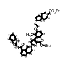 CCOC(=O)CN1CCC2(CC[C@@H](CCOc3cccc(-c4ccc(N5CCc6cccc(C(=O)Nc7nc8ccccc8s7)c6C5)nc4C(=O)OC(C)(C)C)c3C)C2)CC1